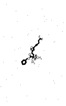 CC(CCc1cc(C#CCCC(F)F)on1)(C(=O)OCc1ccccc1)S(C)(=O)=O